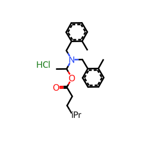 Cc1ccccc1CN(Cc1ccccc1C)C(C)OC(=O)CCC(C)C.Cl